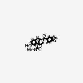 COC(=O)OC12CCN(C(=O)c3ccc4ncsc4c3)C(Cc3ccc(O)cc31)C2